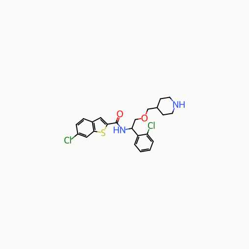 O=C(NC(COCC1CCNCC1)c1ccccc1Cl)c1cc2ccc(Cl)cc2s1